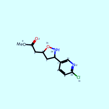 COC(=O)CC1CC(c2ccc(Cl)nc2)NO1